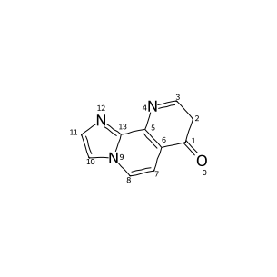 O=C1CC=Nc2c1ccn1ccnc21